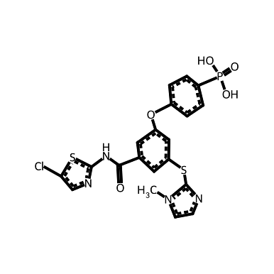 Cn1ccnc1Sc1cc(Oc2ccc(P(=O)(O)O)cc2)cc(C(=O)Nc2ncc(Cl)s2)c1